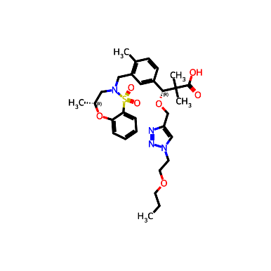 CCCOCCn1cc(CO[C@H](c2ccc(C)c(CN3C[C@@H](C)Oc4ccccc4S3(=O)=O)c2)C(C)(C)C(=O)O)nn1